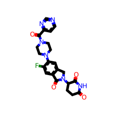 O=C1CCC(N2Cc3cc(N4CCN(C(=O)c5ccncn5)CC4)c(F)cc3C2=O)C(=O)N1